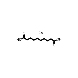 O=C(O)CCCCCCCCC(=O)O.[Co]